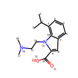 CC(C)c1cccc2cc(C(=O)O)n(CCN(C)C)c12